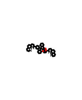 c1ccc(C2(c3ccc(-c4ccc5ccc6cccnc6c5n4)cc3)c3ccccc3-c3ccccc32)c(-c2ccc(-c3ccc4ccc5cccnc5c4n3)cc2)c1